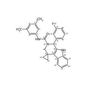 Cc1cc(C)cc(NC(=O)N2CC3(CC3)c3c([nH]c4ccccc34)C2c2cccc(F)c2)c1